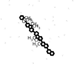 C=C(OC1=C(C)C=CCC1)c1ccc2c(c1)C(C)(C)C1=C2CCC(C2=CC3=C(CC2)c2ccc(-c4cc5ccc(-c6ccc7ccccc7c6)cc5cc4C)cc2C3(C)C)=C1